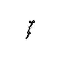 COCCOCOc1ccc(/C=C/C=C/C(=O)NCCCOC(c2ccccc2)c2ccccc2)cc1OC